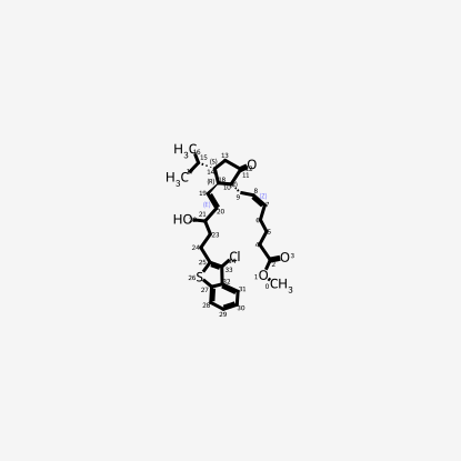 COC(=O)CCC/C=C\C[C@H]1C(=O)C[C@@H](C(C)C)[C@@H]1/C=C/C(O)CCc1sc2ccccc2c1Cl